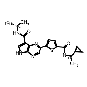 C[C@H](NC(=O)c1c[nH]c2ncc(-c3ccc(C(=O)N[C@H](C)C4CC4)s3)nc12)C(C)(C)C